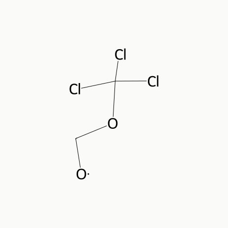 [O]COC(Cl)(Cl)Cl